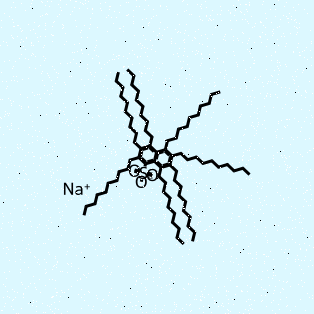 CCCCCCCCCCc1c(CCCCCCCCCC)c(CCCCCCCCCC)c2c(S(=O)(=O)[O-])c(CCCCCCCCCC)c(CCCCCCCCCC)c(CCCCCCCCCC)c2c1CCCCCCCCCC.[Na+]